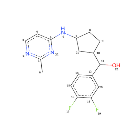 Cc1nccc(NC2CCC(C(O)c3ccc(F)c(F)c3)C2)n1